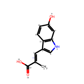 C/C(=C\c1c[nH]c2cc(O)ccc12)C(=O)O